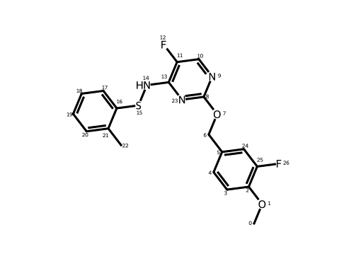 COc1ccc(COc2ncc(F)c(NSc3ccccc3C)n2)cc1F